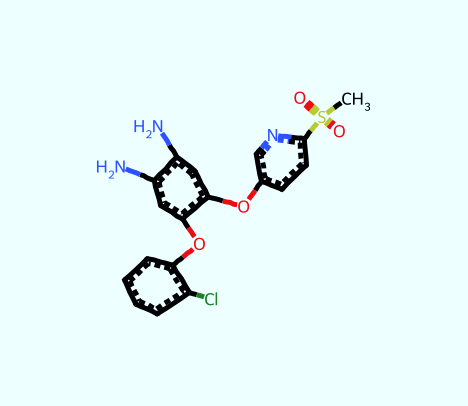 CS(=O)(=O)c1ccc(Oc2cc(N)c(N)cc2Oc2ccccc2Cl)cn1